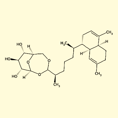 CC1=C[C@H]2[C@H]([C@H](C)CCC[C@@H](C)C3OC[C@H]4O[C@@H](O3)[C@H](O)[C@@H](O)[C@@H]4O)CC=C(C)[C@H]2CC1